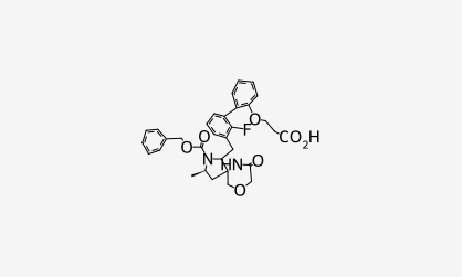 C[C@@H]1CC2(COCC(=O)N2)C(Cc2cccc(-c3ccccc3OCCC(=O)O)c2F)N1C(=O)OCc1ccccc1